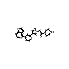 O=C(Cn1cc(C2=CN(c3ncnc4[nH]ccc34)CCS2)cn1)N1CCNCC1